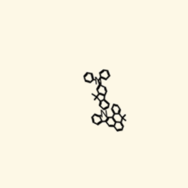 CC1(C)c2cc(N(c3ccccc3)c3ccccc3)ccc2-c2ccc(-n3c4ccccc4c4cc5cccc6c5c(c43)-c3ccccc3C6(C)C)cc21